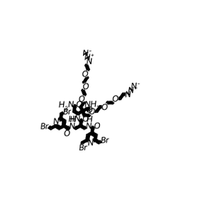 [N-]=[N+]=NCCOCCOCCOCCC(CCOCCOCCOCCN=[N+]=[N-])(C(N)=O)C(CC(N)=O)NC(=O)C(CNC(=O)c1cc(CBr)nc(CBr)c1)CNC(=O)c1cc(CBr)nc(CBr)c1